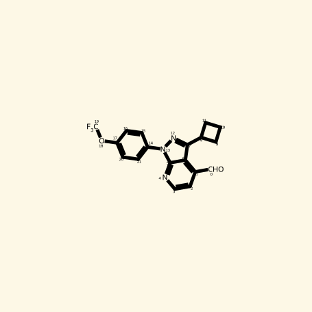 O=Cc1ccnc2c1c(C1CCC1)nn2-c1ccc(OC(F)(F)F)cc1